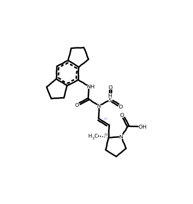 C[C@@]1(/C=C/N(C(=O)Nc2c3c(cc4c2CCC4)CCC3)[SH](=O)=O)CCCN1C(=O)O